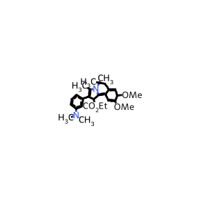 CCOC(=O)C1C(c2cccc(N(C)C)c2)=C(C)N2C1=C1C=C(OC)C(OC)C=C1CC2(C)C